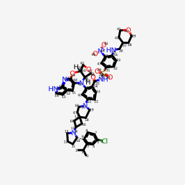 CC(C)c1cc(Cl)ccc1[C@@H]1CCCN1C1CC2(CCN(c3ccc(C(=O)NS(=O)(=O)c4ccc(NCC5CCOCC5)c([N+](=O)[O-])c4)c(N4c5cc6cc[nH]c6nc5O[C@@H]5COC[C@H]54)c3)CC2)C1